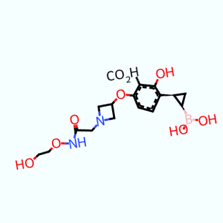 O=C(CN1CC(Oc2ccc([C@H]3C[C@H]3B(O)O)c(O)c2C(=O)O)C1)NOCCO